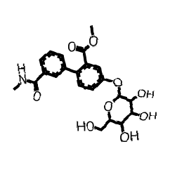 CNC(=O)c1cccc(-c2ccc(OC3OC(CO)C(O)C(O)C3O)cc2C(=O)OC)c1